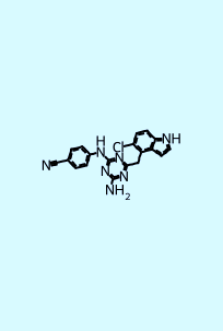 N#Cc1ccc(Nc2nc(N)nc(Cc3c(Cl)ccc4[nH]ccc34)n2)cc1